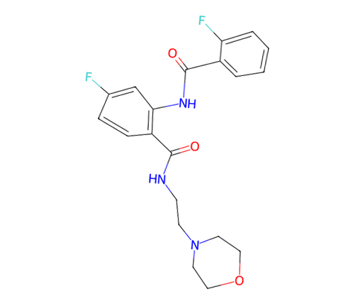 O=C(Nc1cc(F)ccc1C(=O)NCCN1CCOCC1)c1ccccc1F